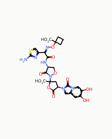 Nc1nc(/C(=N/OC2(C(=O)O)CCC2)C(=O)N[C@H]2CON(C3(C(=O)O)CC(n4cc5cc(O)c(O)cn5c4=O)C(=O)O3)C2=O)cs1